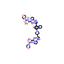 CC(C)[C@H](NC(=O)N1CCOCC1)C(=O)N1CCC[C@H]1c1ncc(-c2ccc(N3CCC(c4cnc([C@@H]5CCCN5C(=O)[C@@H](NC(=O)N5CCOCC5)C(C)C)[nH]4)CC3)c3c2C2CCC3N2C)[nH]1